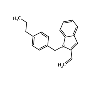 C=Cc1cc2ccccc2n1Cc1ccc(CCC)cc1